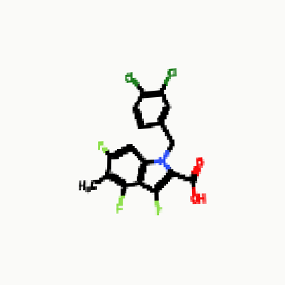 Cc1c(F)cc2c(c1F)c(F)c(C(=O)O)n2Cc1ccc(Cl)c(Cl)c1